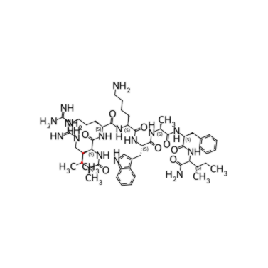 CC[C@H](C)C(NC(=O)[C@H](Cc1ccccc1)NC(=O)[C@H](C)NC(=O)[C@H](Cc1c[nH]c2ccccc12)NC(=O)[C@H](CCCCN)NC(=O)[C@H](CCCNC(=N)N)NC(=O)[C@H](CC(C)C)NC(=O)[C@@H](C)CCCNC(=N)N)C(N)=O